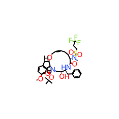 COc1ccc2c(c1)[C@@H]1[C@@H](C2)OC/C=C\CC[C@H](N(C)S(=O)(=O)CCC(F)(F)F)C(=O)N[C@@H](Cc2ccccc2)[C@H](O)CN1C(=O)OC(C)(C)C